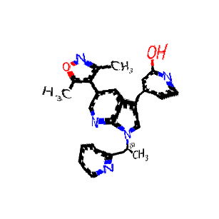 Cc1noc(C)c1-c1cnc2c(c1)c(-c1ccnc(O)c1)cn2[C@@H](C)c1ccccn1